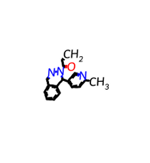 C=CC(=O)N1N=Cc2ccccc2C1c1ccc(C)nc1